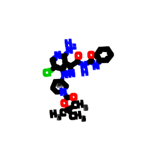 CC(C)(C)OC(=O)N1CCC[C@@H](n2nc(C(=O)Nc3nc4ccccc4o3)c3c(N)ncc(Cl)c32)C1